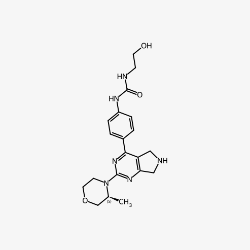 C[C@H]1COCCN1c1nc2c(c(-c3ccc(NC(=O)NCCO)cc3)n1)CNC2